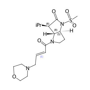 CC(C)[C@H]1C(=O)N(S(C)(=O)=O)[C@H]2CCN(C(=O)/C=C/CN3CCOCC3)[C@H]12